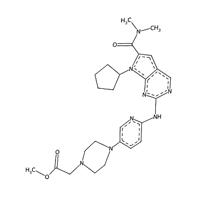 COC(=O)CN1CCN(c2ccc(Nc3ncc4cc(C(=O)N(C)C)n(C5CCCC5)c4n3)nc2)CC1